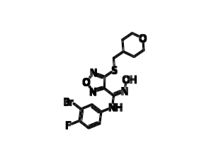 O/N=C(/Nc1ccc(F)c(Br)c1)c1nonc1SCC1CCOCC1